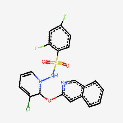 O=S(=O)(NN1C=CC=C(Cl)C1Oc1cc2ccccc2cn1)c1ccc(F)cc1F